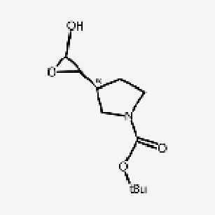 CC(C)(C)OC(=O)N1CC[C@H](C2OC2O)C1